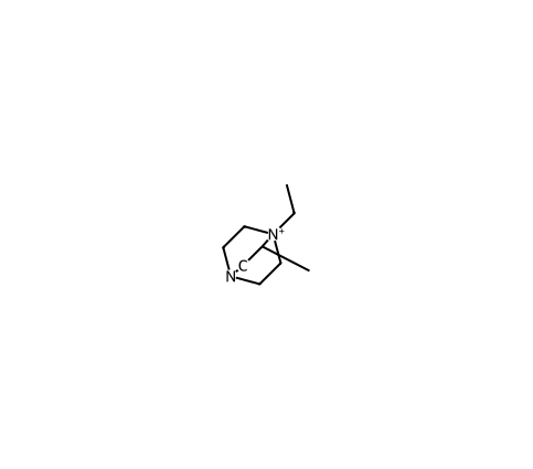 CC[N+]12CCN(CC1)CC2C